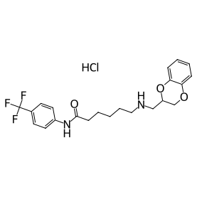 Cl.O=C(CCCCCNCC1COc2ccccc2O1)Nc1ccc(C(F)(F)F)cc1